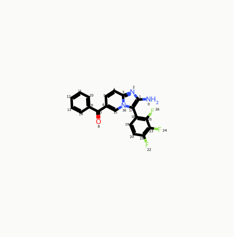 Nc1nc2ccc(C(=O)c3ccccc3)cn2c1-c1ccc(F)c(F)c1F